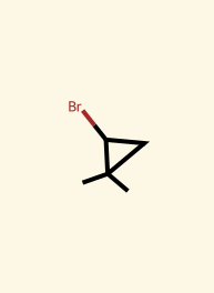 CC1(C)CC1Br